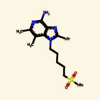 CCCCS(=O)(=O)CCCCCn1c(CCC)nc2c(N)nc(C)c(C)c21